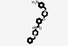 Nc1ccc(CN2CCC(Oc3cccc(C(=O)NC4CCN(Cc5ccccc5)CC4)c3)CC2)cc1